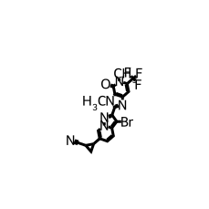 Cn1c(C(F)(F)F)cc2nc(-c3nn4cc(C5CC5C#N)ccc4c3Br)n(C)c2c1=O